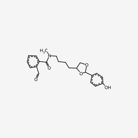 CN(CCCCC1COC(c2ccc(O)cc2)O1)C(=O)c1ccccc1C=O